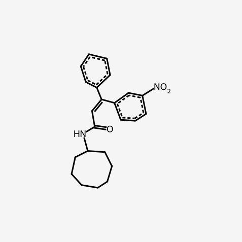 O=C(/C=C(/c1ccccc1)c1cccc([N+](=O)[O-])c1)NC1CCCCCCC1